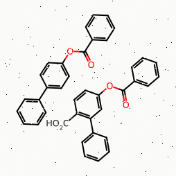 O=C(Oc1ccc(-c2ccccc2)cc1)c1ccccc1.O=C(Oc1ccc(C(=O)O)c(-c2ccccc2)c1)c1ccccc1